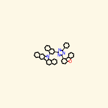 c1ccc(-c2nc(-c3cc(-n4c5cc6ccccc6cc5c5ccc6ccccc6c54)c4ccccc4c3)nc(-c3cccc4oc5ccccc5c34)n2)cc1